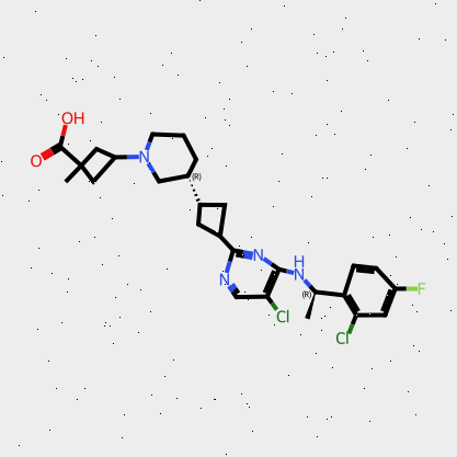 C[C@@H](Nc1nc(C2CC([C@H]3CCCN(C4CC(C)(C(=O)O)C4)C3)C2)ncc1Cl)c1ccc(F)cc1Cl